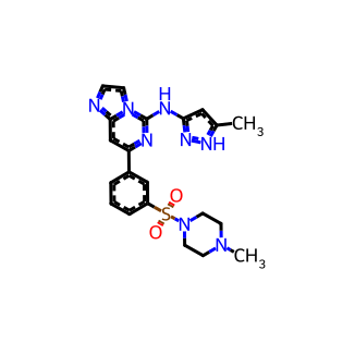 Cc1cc(Nc2nc(-c3cccc(S(=O)(=O)N4CCN(C)CC4)c3)cc3nccn23)n[nH]1